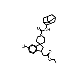 CCOC(=O)CC1CC2(CCN(C(=O)NC3C4CC5CC(C4)CC3C5)CC2)c2cc(Cl)ccc21